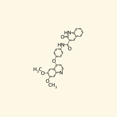 COc1cc2nccc(Oc3ccc(NC(=O)c4cc5ccccc5[nH]c4=O)cc3)c2cc1OC